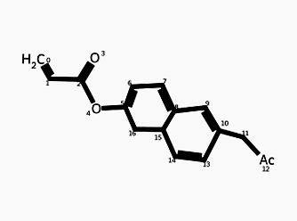 C=CC(=O)OC1=CC=C2C=C(CC(C)=O)C=CC2C1